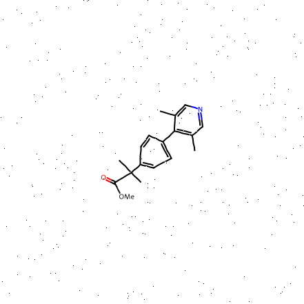 COC(=O)C(C)(C)c1ccc(-c2c(C)cncc2C)cc1